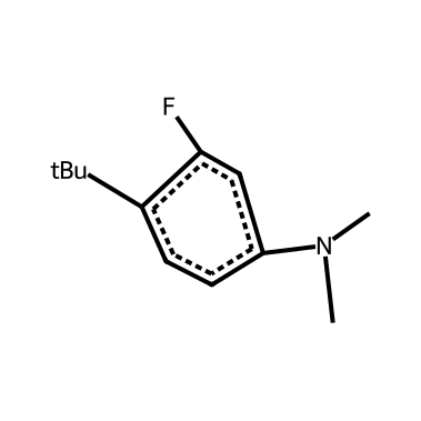 CN(C)c1ccc(C(C)(C)C)c(F)c1